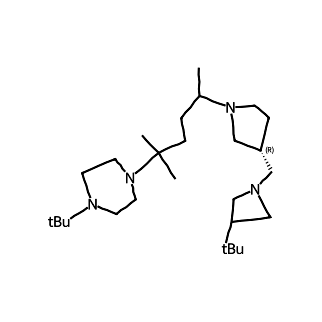 CC(CCC(C)(C)N1CCN(C(C)(C)C)CC1)N1CC[C@H](CN2CC(C(C)(C)C)C2)C1